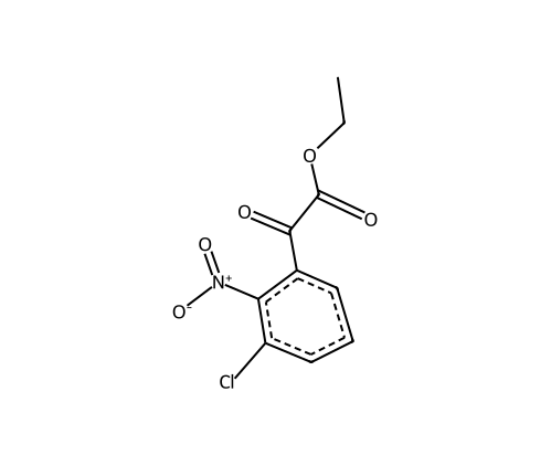 CCOC(=O)C(=O)c1cccc(Cl)c1[N+](=O)[O-]